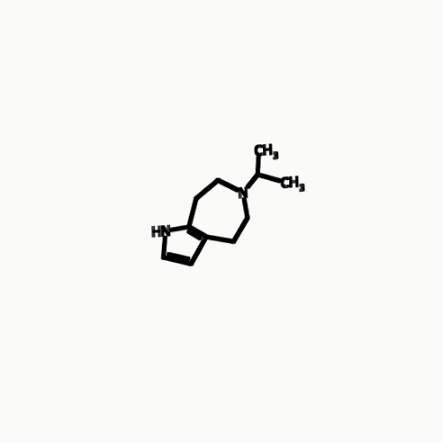 CC(C)N1CCc2cc[nH]c2CC1